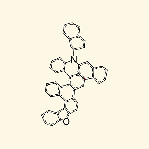 c1ccc(N(c2ccc3ccccc3c2)c2ccc3ccccc3c2)c(-c2cccc3c4ccc5oc6ccccc6c5c4c4ccccc4c23)c1